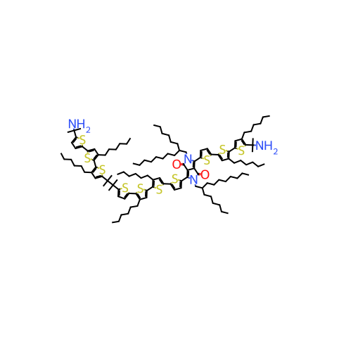 CCCCCCCCC(CCCCCC)CN1C(=O)C2=C(c3ccc(-c4cc(CCCCCC)c(-c5cc(CCCCCC)c(C(C)(C)N)s5)s4)s3)N(CC(CCCCCC)CCCCCCCC)C(=O)C2=C1c1ccc(-c2cc(CCCCCC)c(-c3cc(CCCCCC)c(-c4ccc(C(C)(C)C(C)(C)c5cc(CCCCCC)c(-c6sc(-c7ccc(C(C)(C)N)s7)cc6CCCCCC)s5)s4)s3)s2)s1